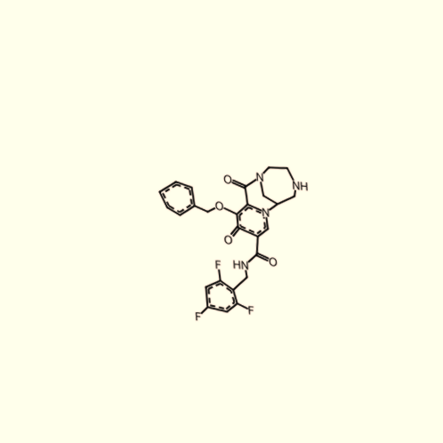 O=C(NCc1c(F)cc(F)cc1F)c1cn2c(c(OCc3ccccc3)c1=O)C(=O)N1CCNCC2C1